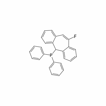 FC1=Cc2ccccc2C(P(c2ccccc2)c2ccccc2)c2ccccc21